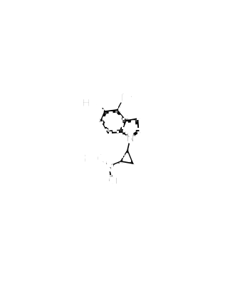 Cc1ccc2c(ccn2C2CC2N(C)C)c1F